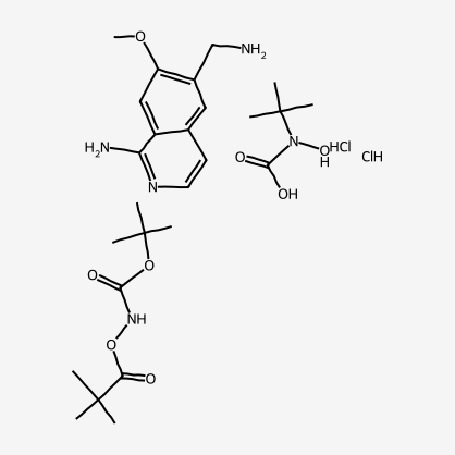 CC(C)(C)N(O)C(=O)O.CC(C)(C)OC(=O)NOC(=O)C(C)(C)C.COc1cc2c(N)nccc2cc1CN.Cl.Cl